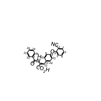 N#Cc1ccccc1Oc1ccc(C=C(NC(=O)c2ccccc2)C(=O)O)cc1